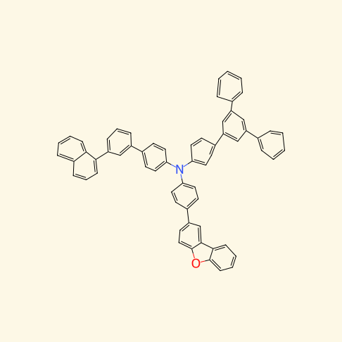 c1ccc(-c2cc(-c3ccccc3)cc(-c3ccc(N(c4ccc(-c5cccc(-c6cccc7ccccc67)c5)cc4)c4ccc(-c5ccc6oc7ccccc7c6c5)cc4)cc3)c2)cc1